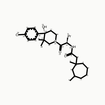 CC1CCCCC(C)(CC(=O)N[C@@H](C(=O)N2CC[C@](O)(c3ccc(Cl)cc3)C(C)(C)C2)C(C)C)C1